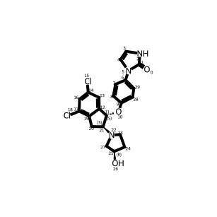 O=c1[nH]ccn1-c1ccc(O[C@H]2c3cc(Cl)cc(Cl)c3C[C@@H]2N2CC[C@@H](O)C2)cc1